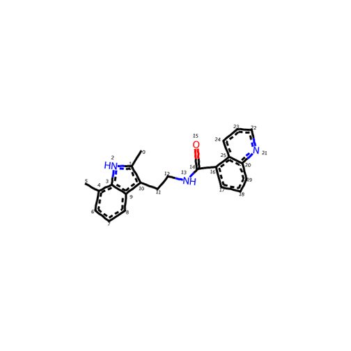 Cc1[nH]c2c(C)cccc2c1CCNC(=O)c1cccc2ncccc12